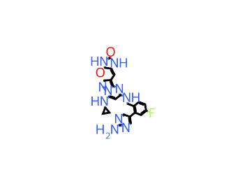 Nc1ncc(-c2cc(F)ccc2CNc2cc(NC3CC3)n3ncc(/C=C4/NC(=O)NC4=O)c3n2)cn1